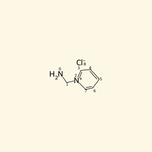 NC[n+]1ccccc1.[Cl-]